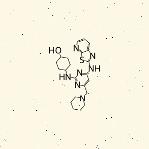 OC1CCC(Nc2nc(CN3CCCCC3)cc(Nc3nc4cccnc4s3)n2)CC1